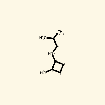 CC(C)CNC1CCC1O